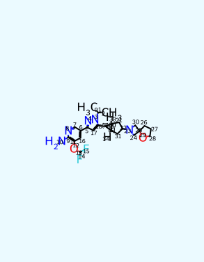 CC(C)n1nc(-c2cnc(N)c(OC(F)F)c2)cc1[C@H]1[C@@H]2CC(N3CC4(CCCO4)C3)C[C@@H]21